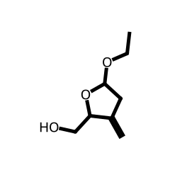 C=C1CC(OCC)OC1CO